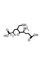 NCC(CC(N)C(=O)O)C(=O)C(N)CCC(=O)O